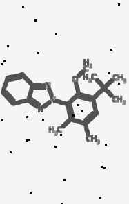 COc1c(C(C)(C)C)cc(C)c(C)c1-n1nc2ccccc2n1